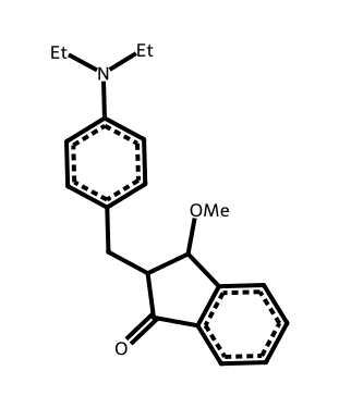 CCN(CC)c1ccc(CC2C(=O)c3ccccc3C2OC)cc1